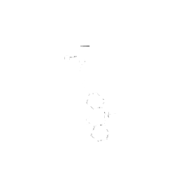 C=C(C)C(=O)OCCCc1ccc2c(c1)Sc1ccccc1N2C